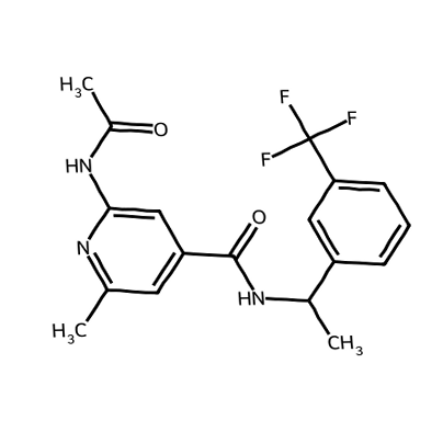 CC(=O)Nc1cc(C(=O)NC(C)c2cccc(C(F)(F)F)c2)cc(C)n1